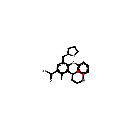 Cc1c(C(N)=O)cc(CC2CCCO2)c(Oc2ccccc2)c1C1CCNCC1